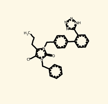 CCCc1c(Cl)n(Cc2ccccc2)c(=O)n1Cc1ccc(-c2ccccc2-c2nnn[nH]2)cc1